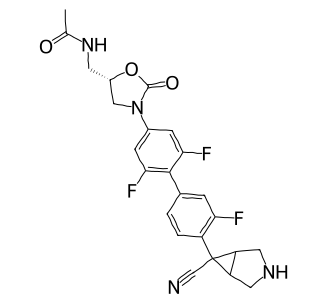 CC(=O)NC[C@H]1CN(c2cc(F)c(-c3ccc(C4(C#N)C5CNCC54)c(F)c3)c(F)c2)C(=O)O1